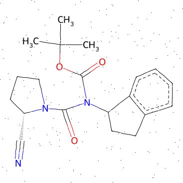 CC(C)(C)OC(=O)N(C(=O)N1CCC[C@H]1C#N)C1CCc2ccccc21